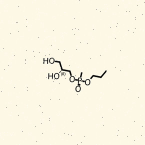 CCCOP(C)(=O)OC[C@H](O)CO